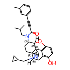 Cc1cccc(C#CC(=O)N(CC(C)C)[C@H]2CC[C@H]3[C@H]4Cc5c(O)ccc6c5[C@@]3(CCN4CC3CC3)[C@H]2O6)c1